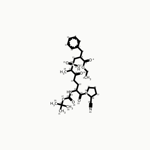 CCOC(=O)C(Cc1ccccc1)CP(=O)(O)C(C)C(=O)CCC(NC(=O)OC(C)(C)C)C(=O)N1CCCC1C#N